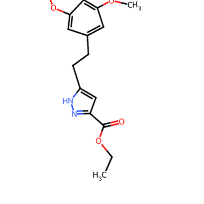 CCOC(=O)c1cc(CCc2cc(OC)cc(OC)c2)[nH]n1